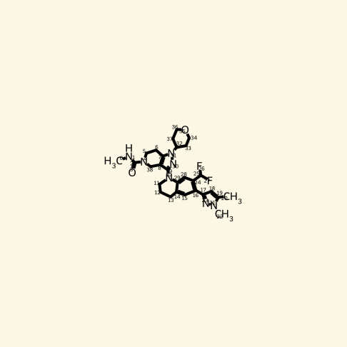 CNC(=O)N1CCc2c(c(N3CCCc4cc(-c5cc(C)n(C)n5)c(C(F)F)cc43)nn2C2CCOCC2)C1